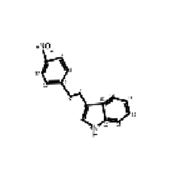 O=[N+]([O-])c1ccc(CCc2c[nH]c3ccccc23)cc1